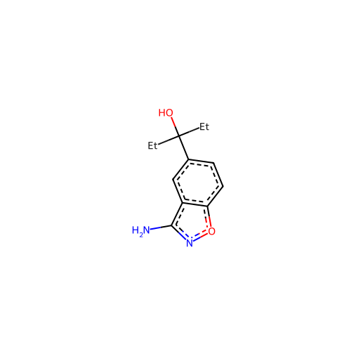 CCC(O)(CC)c1ccc2onc(N)c2c1